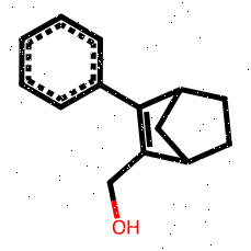 OCC1=C(c2ccccc2)C2CCC1C2